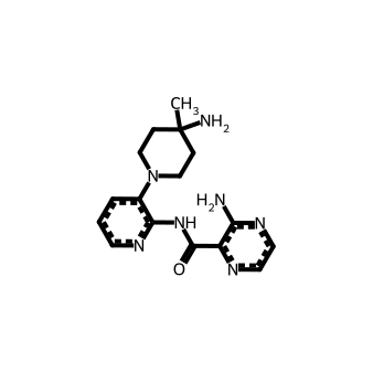 CC1(N)CCN(c2cccnc2NC(=O)c2nccnc2N)CC1